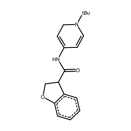 CC(C)(C)N1C=CC(NC(=O)C2COc3ccccc32)=CC1